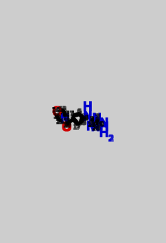 Nc1nc(Nc2ccc(C(=O)N3CCOCC3)cc2)n[nH]1